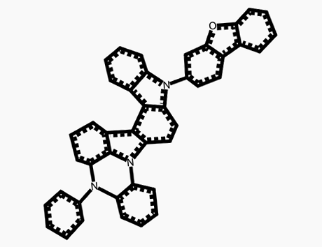 c1ccc(N2c3ccccc3-n3c4ccc5c(c6ccccc6n5-c5ccc6c(c5)oc5ccccc56)c4c4cccc2c43)cc1